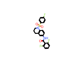 O=C(Nc1ccc2c(c1)CCCN2S(=O)(=O)c1ccc(F)cc1)c1c(F)cccc1F